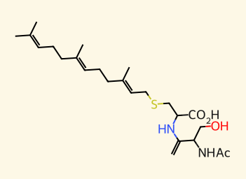 C=C(NC(CSC/C=C(\C)CC/C=C(\C)CCC=C(C)C)C(=O)O)C(CO)NC(C)=O